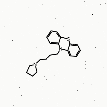 c1ccc2c(c1)Sc1ccccc1N2CCCCN1CCCC1